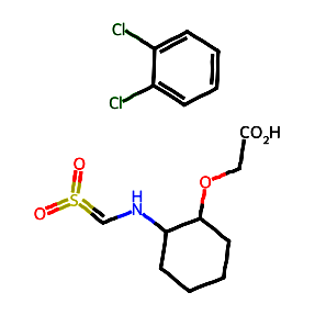 Clc1ccccc1Cl.O=C(O)COC1CCCCC1NC=S(=O)=O